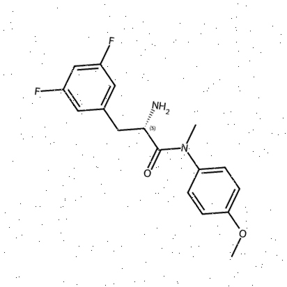 COc1ccc(N(C)C(=O)[C@@H](N)Cc2cc(F)cc(F)c2)cc1